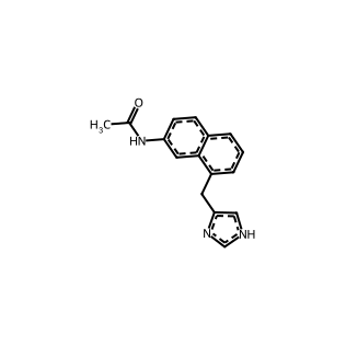 CC(=O)Nc1ccc2cccc(Cc3c[nH]cn3)c2c1